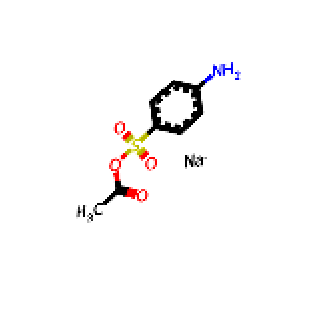 CC(=O)OS(=O)(=O)c1ccc(N)cc1.[Na]